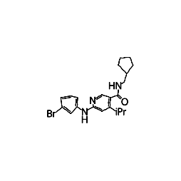 CC(C)c1cc(Nc2cccc(Br)c2)ncc1C(=O)NCC1CCCC1